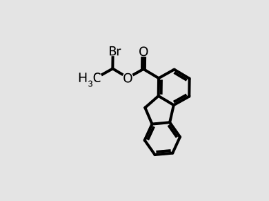 CC(Br)OC(=O)c1cccc2c1Cc1ccccc1-2